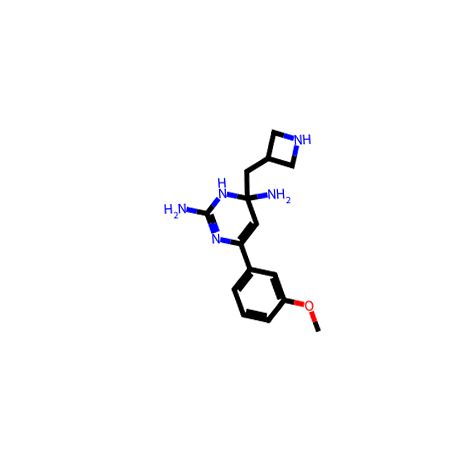 COc1cccc(C2=CC(N)(CC3CNC3)NC(N)=N2)c1